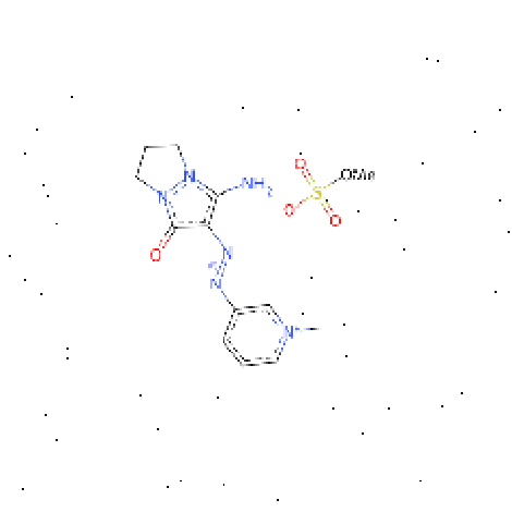 COS(=O)(=O)[O-].C[n+]1cccc(/N=N/c2c(N)n3n(c2=O)CCC3)c1